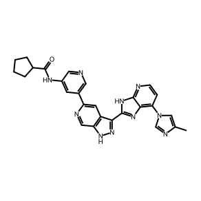 Cc1cn(-c2ccnc3[nH]c(-c4n[nH]c5cnc(-c6cncc(NC(=O)C7CCCC7)c6)cc45)nc23)cn1